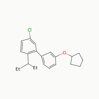 CCC(CC)c1ccc(Cl)cc1-c1cccc(OC2CCCC2)c1